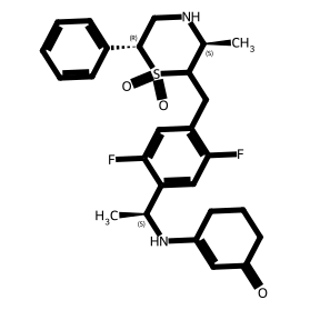 C[C@H](NC1=CC(=O)CCC1)c1cc(F)c(CC2[C@H](C)NC[C@@H](c3ccccc3)S2(=O)=O)cc1F